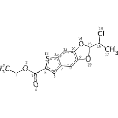 CCOC(=O)c1cc2cc3c(cc2s1)OC(C(C)Cl)O3